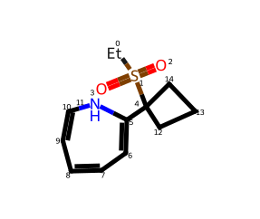 CCS(=O)(=O)C1(C2=CC=CC=CN2)CCC1